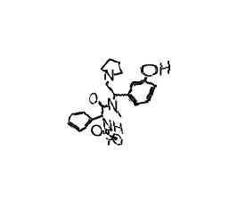 CN(C(=O)C(NS(C)(=O)=O)c1ccccc1)C(CN1CCCC1)c1cccc(O)c1